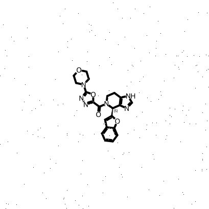 O=C(c1nnc(N2CCOCC2)o1)N1CCc2[nH]cnc2[C@H]1c1cc2ccccc2o1